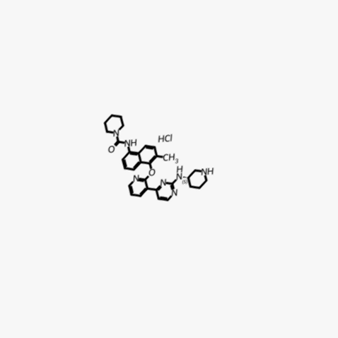 Cc1ccc2c(NC(=O)N3CCCCC3)cccc2c1Oc1ncccc1-c1ccnc(N[C@H]2CCCNC2)n1.Cl